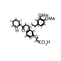 COc1ccc(CC[C@@H](CC(=O)[C@@H]2CCCCN2)c2cccc(OCC(=O)O)c2)cc1OC